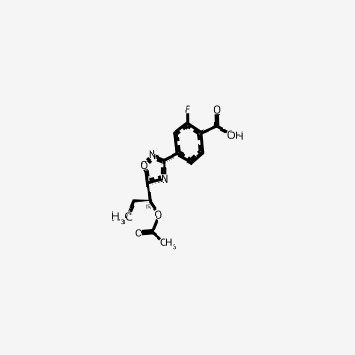 CC[C@H](OC(C)=O)c1nc(-c2ccc(C(=O)O)c(F)c2)no1